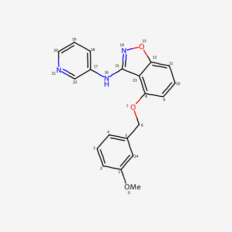 COc1cccc(COc2cccc3onc(Nc4cccnc4)c23)c1